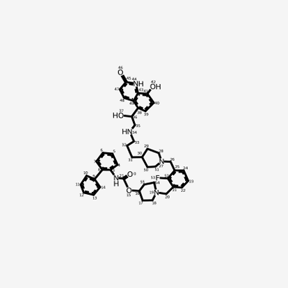 O=C(Nc1ccccc1-c1ccccc1)OC1CCN(Cc2cccc(CN3CCC(CCCNCC(O)c4ccc(O)c5[nH]c(=O)ccc45)CC3)c2F)CC1